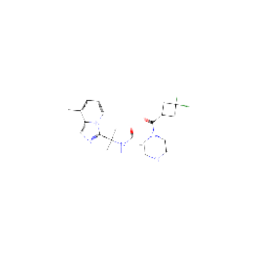 Cc1cccn2c(C(C)(C)NC(=O)[C@H]3CNCCN3C(=O)C3CC(F)(F)C3)ncc12